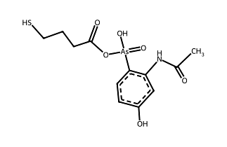 CC(=O)Nc1cc(O)ccc1[As](=O)(O)OC(=O)CCCS